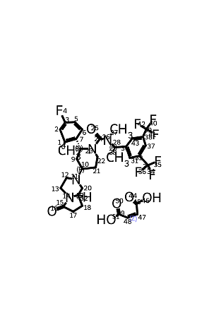 Cc1cc(F)ccc1[C@H]1C[C@H](N2CCN3C(=O)CC[C@H]3C2)CCN1C(=O)N(C)[C@H](C)c1cc(C(F)(F)F)cc(C(F)(F)F)c1.O=C(O)/C=C\C(=O)O